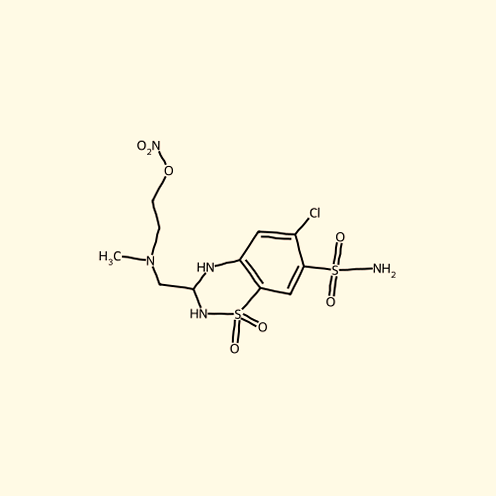 CN(CCO[N+](=O)[O-])CC1Nc2cc(Cl)c(S(N)(=O)=O)cc2S(=O)(=O)N1